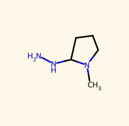 CN1CCCC1NN